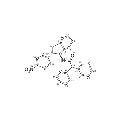 O=C(N[C@@H]1c2ccccc2C[C@H]1c1ccc([N+](=O)[O-])cc1)C(c1ccccc1)c1ccccc1